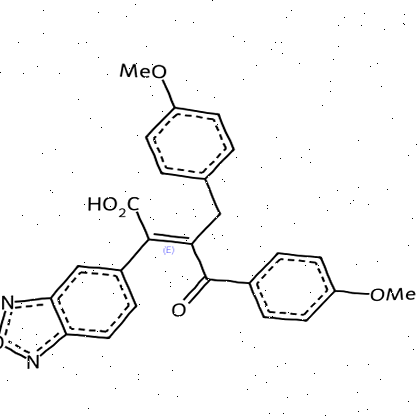 COc1ccc(C/C(C(=O)c2ccc(OC)cc2)=C(\C(=O)O)c2ccc3nonc3c2)cc1